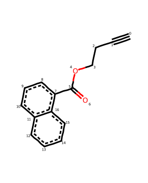 C#CCCOC(=O)c1cccc2ccccc12